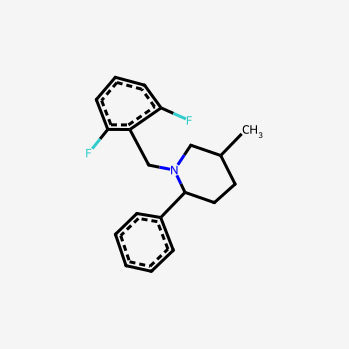 CC1CCC(c2ccccc2)N(Cc2c(F)cccc2F)C1